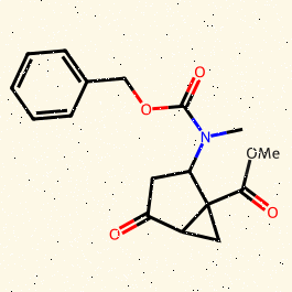 COC(=O)C12CC1C(=O)CC2N(C)C(=O)OCc1ccccc1